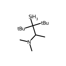 CC(N(C)C)C([SiH3])(C(C)(C)C)C(C)(C)C